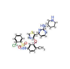 Cc1ccc(NS(=O)(=O)c2ccccc2Cl)cc1Oc1ncsc1-c1ccnc(N[C@H]2CCCNC2)n1